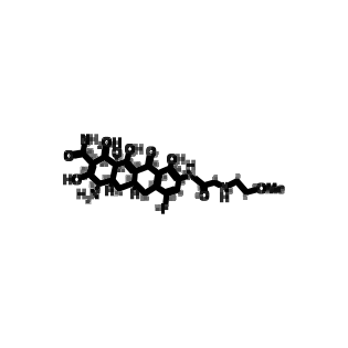 COCCNCC(=O)Nc1cc(F)c2c(c1O)C(=O)C1=C(O)[C@]3(O)C(=O)C(C(N)=O)=C(O)[C@@H](N)[C@@H]3C[C@@H]1C2